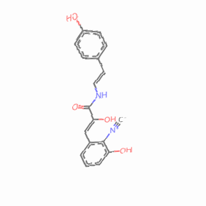 [C-]#[N+]c1c(O)cccc1/C=C(\O)C(=O)N/C=C/c1ccc(O)cc1